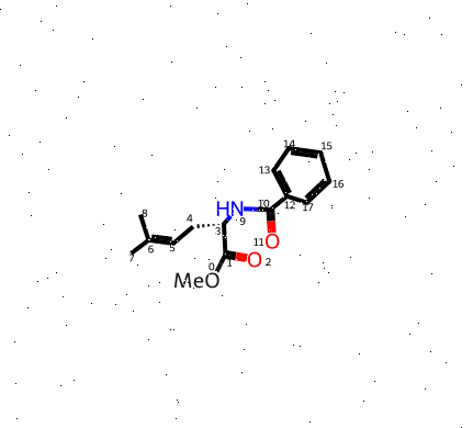 COC(=O)[C@H](CC=C(C)C)NC(=O)c1ccccc1